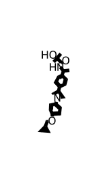 CC(NC(=O)C(C)(C)O)c1ccc(C2CN(c3ccc(OCC4CC4)cc3)C2)cc1